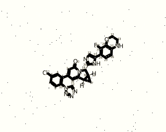 O=c1cc(-c2cc(Cl)ccc2-n2cnnn2)cc2n1[C@H](c1ncc(-c3ccc4c(c3F)OCCN4)[nH]1)[C@H]1C[C@@H]21